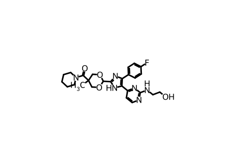 CC1(C(=O)N2CCCCC2)COC(c2nc(-c3ccc(F)cc3)c(-c3ccnc(NCCO)n3)[nH]2)OC1